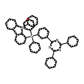 c1ccc(-c2nc(-c3ccccc3)nc(-c3cccc([Si](c4ccccc4)(c4ccccc4)c4cccc5c6ccccc6n(-c6ccccc6)c45)c3)n2)cc1